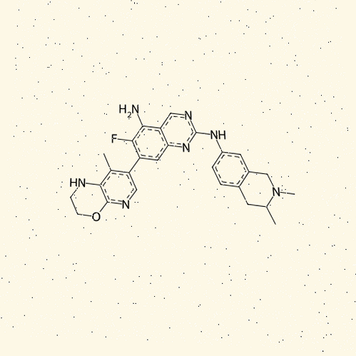 Cc1c(-c2cc3nc(Nc4ccc5c(c4)CN(C)C(C)C5)ncc3c(N)c2F)cnc2c1NCCO2